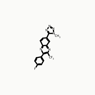 Cn1nnnc1-c1ccc2nc(-c3ccc(F)cc3)c(C(F)(F)F)nc2c1